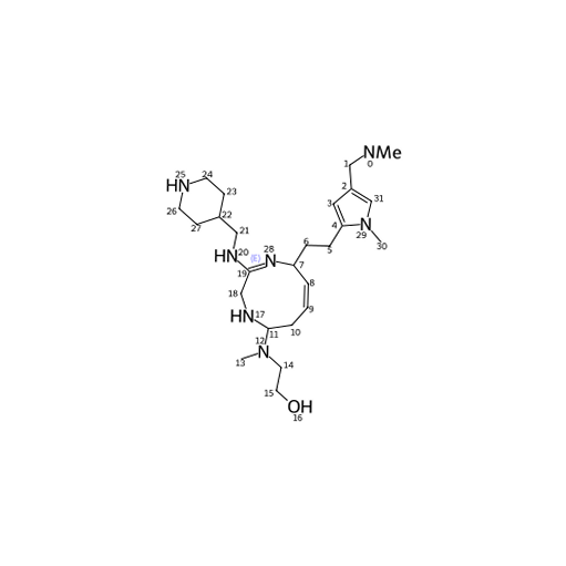 CNCc1cc(CCC2C=CCC(N(C)CCO)NC/C(NCC3CCNCC3)=N\2)n(C)c1